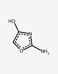 Nc1nc(O)co1